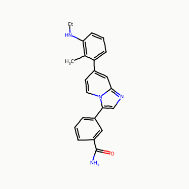 CCNc1cccc(-c2ccn3c(-c4cccc(C(N)=O)c4)cnc3c2)c1C